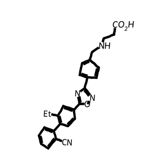 CCc1cc(-c2nc(-c3ccc(CNCCC(=O)O)cc3)no2)ccc1-c1ccccc1C#N